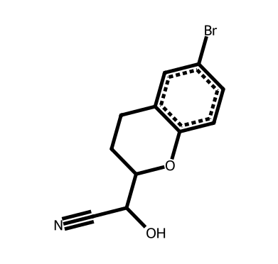 N#CC(O)C1CCc2cc(Br)ccc2O1